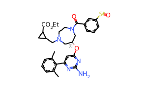 CCOC(=O)C1CC1CN1CCN(C(=O)c2cccc([S+]=O)c2)C[C@H](Oc2cc(-c3c(C)cccc3C)nc(N)n2)C1